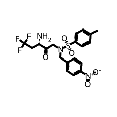 Cc1ccc(S(=O)(=O)N(CC(=O)[C@@H](N)CC(F)(F)F)Cc2ccc([N+](=O)[O-])cc2)cc1